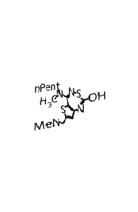 CCCCCN(C)C1=NSC(O)=Nc2cc(CNC)sc21